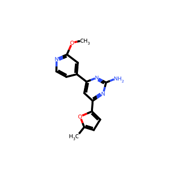 COc1cc(-c2cc(-c3ccc(C)o3)nc(N)n2)ccn1